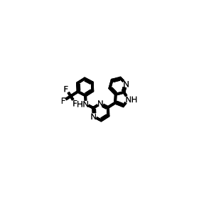 FC(F)(F)c1ccccc1Nc1nccc(-c2c[nH]c3ncccc23)n1